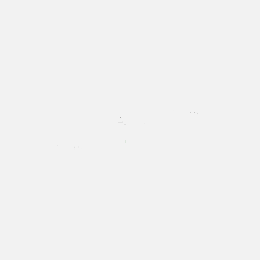 CCCCCCCCCCC[CH2][Al][CH2]CCCCCCCCCCC.Cl